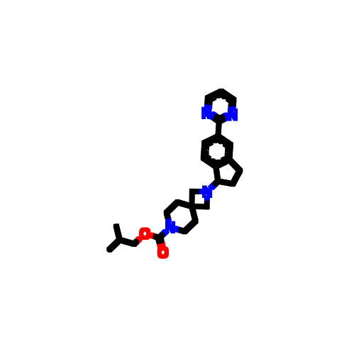 CC(C)COC(=O)N1CCC2(CC1)CN(C1CCc3cc(-c4ncccn4)ccc31)C2